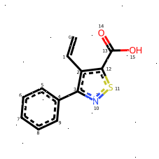 C=Cc1c(-c2ccccc2)nsc1C(=O)O